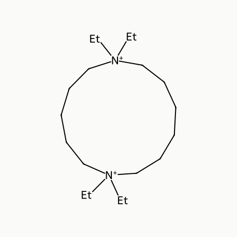 CC[N+]1(CC)CCCCCC[N+](CC)(CC)CCCCC1